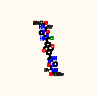 COC(=O)N[C@H](C(=O)N1CCC[C@H]1c1ncc(-c2cc3c4c(c2)OCc2cc(-c5[nH]c([C@@H]6CCCN6C(=O)[C@@H](NC(=O)OC)C(C)C)nc5Cl)cc(c2-4)OC3)[nH]1)C(C)C